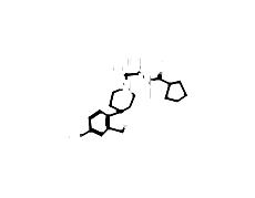 CC(C)[C@@H](NC(=O)C1CCCC1)C(=O)N1CCC2(CC1)OCc1cc(Cl)ccc12